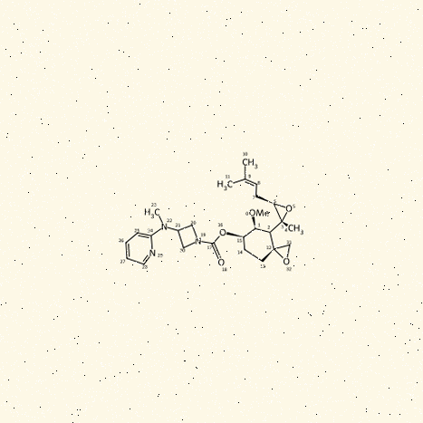 CO[C@H]1C([C@@]2(C)O[C@@H]2CC=C(C)C)[C@]2(CC[C@H]1OC(=O)N1CC(N(C)c3ccccn3)C1)CO2